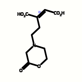 O=C(O)/C=C(\CCN1CCOC(=O)C1)C(=O)O